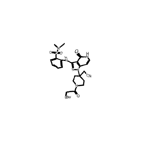 CN(C)S(=O)(=O)c1ccccc1Nc1nn(C2(CC#N)CCN(C(=O)CC(C)(C)C)CC2)c2cc[nH]c(=O)c12